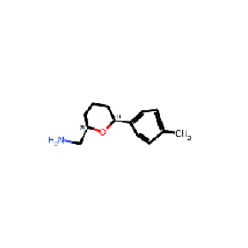 Cc1ccc([C@@H]2CCC[C@H](CN)O2)cc1